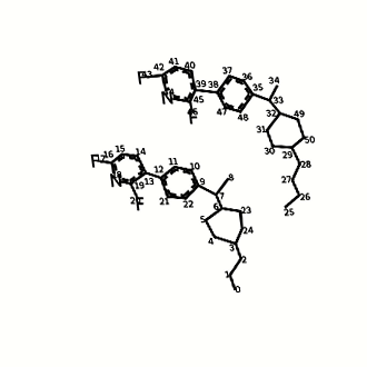 CCCC1CCC(C(C)c2ccc(-c3ccc(F)nc3F)cc2)CC1.CCCCC1CCC(C(C)c2ccc(-c3ccc(F)nc3F)cc2)CC1